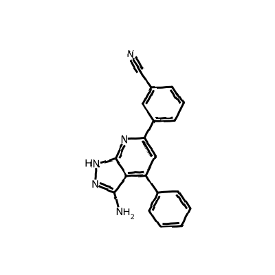 N#Cc1cccc(-c2cc(-c3ccccc3)c3c(N)n[nH]c3n2)c1